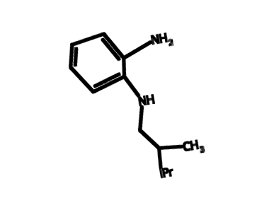 CC(C)C(C)CNc1ccccc1N